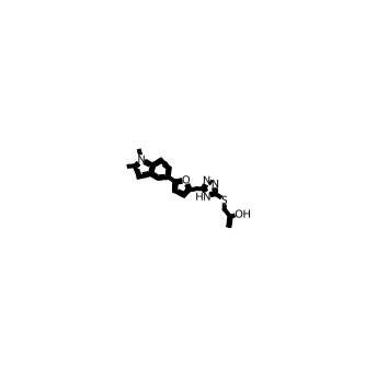 C=C(O)CSc1nnc(-c2ccc(-c3ccc4c(c3)cc(C)n4C)o2)[nH]1